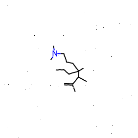 C=C(C)C(C)C(C)(CCC)CCCN(C)C